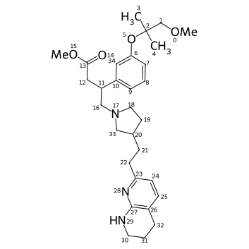 COCC(C)(C)Oc1cccc(C(CC(=O)OC)CN2CCC(CCc3ccc4c(n3)NCCC4)C2)c1